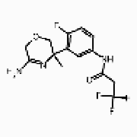 CC1(c2cc(NC(=O)CC(F)(F)F)ccc2F)COCC(N)=N1